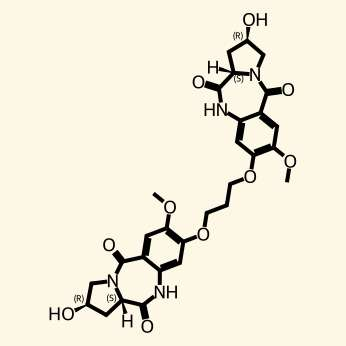 COc1cc2c(cc1OCCCOc1cc3c(cc1OC)C(=O)N1C[C@H](O)C[C@H]1C(=O)N3)NC(=O)[C@@H]1C[C@@H](O)CN1C2=O